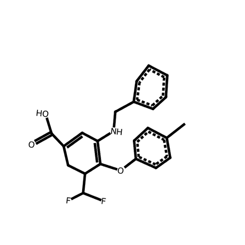 Cc1ccc(OC2=C(NCc3ccccc3)C=C(C(=O)O)CC2C(F)F)cc1